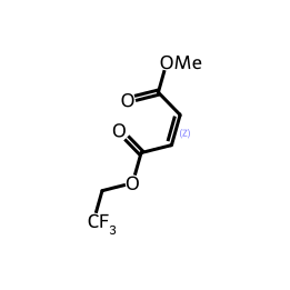 COC(=O)/C=C\C(=O)OCC(F)(F)F